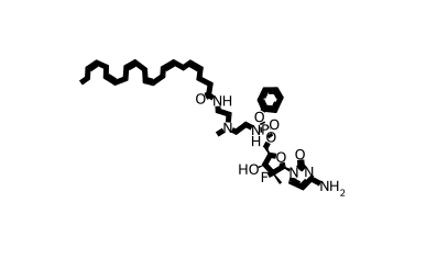 CC/C=C\C/C=C\C/C=C\C/C=C\C/C=C\C/C=C\CCC(=O)NCCN(C)CCNP(=O)(OC[C@H]1O[C@@H](n2ccc(N)nc2=O)[C@](C)(F)[C@@H]1O)Oc1ccccc1